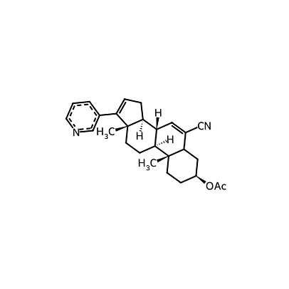 CC(=O)O[C@H]1CC[C@@]2(C)C(C1)C(C#N)=C[C@@H]1[C@@H]2CC[C@]2(C)C(c3cccnc3)=CC[C@@H]12